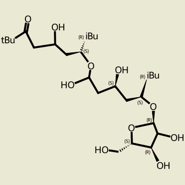 CC[C@@H](C)[C@H](CC(O)CC(=O)C(C)(C)C)OC(O)C[C@@H](O)C[C@H](O[C@@H]1O[C@@H](CO)[C@H](O)C1O)[C@H](C)CC